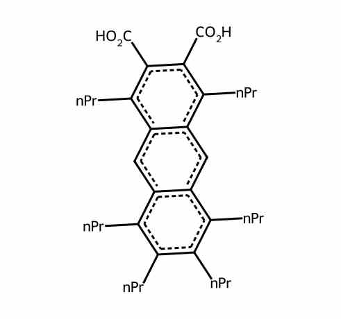 CCCc1c(CCC)c(CCC)c2cc3c(CCC)c(C(=O)O)c(C(=O)O)c(CCC)c3cc2c1CCC